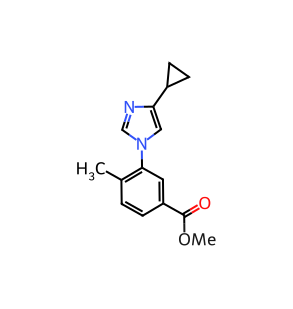 COC(=O)c1ccc(C)c(-n2cnc(C3CC3)c2)c1